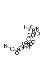 Cc1cnc2cccc(OCc3c(Cl)ccc(S(=O)(=O)N4CCC[C@H]4C(=O)N4CCN(C(=O)c5ccc(C#N)cc5)CC4)c3Cl)c2n1